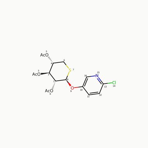 CC(=O)O[C@@H]1[C@@H](OC(C)=O)[C@H](OC(C)=O)CS[C@H]1Oc1ccc(Cl)nc1